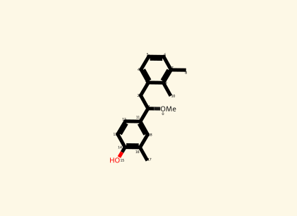 COC(Cc1cccc(C)c1C)c1ccc(O)c(C)c1